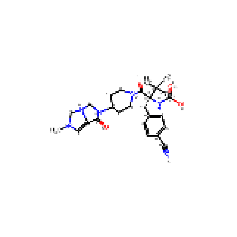 CN1C=C2C(=O)N(C3CCN(C(=O)[C@](Cc4ccc(C#N)cc4)(NC(=O)O)C(C)(C)C)CC3)CN2C1